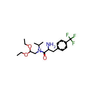 CCOC(CN(C(=O)C(N)Cc1ccc(C(F)(F)F)cc1)C(C)C)OCC